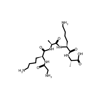 C[C@H](NC(=O)[C@H](CCCCN)NC(=O)[C@H](C)NC(=O)[C@H](CCCCN)NC(=O)CN)C(=O)O